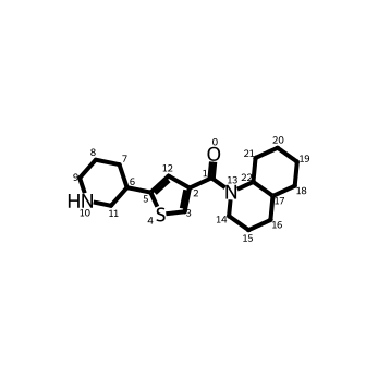 O=C(c1csc(C2CCCNC2)c1)N1CCCC2CCCCC21